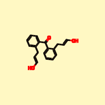 O=C(c1ccccc1CC=CO)c1ccccc1CC=CO